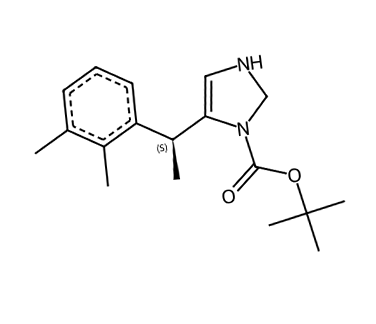 Cc1cccc([C@H](C)C2=CNCN2C(=O)OC(C)(C)C)c1C